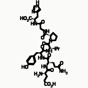 CC(C)[C@H](NC(=O)[C@H](Cc1ccc(O)cc1)NC(=O)[C@H](CCC(N)=O)NC(=O)[C@@H](N)CCC(=O)O)C(=O)N1CCC[C@H]1C(=O)NCC(=O)N[C@@H](Cc1c[nH]cn1)C(=O)O